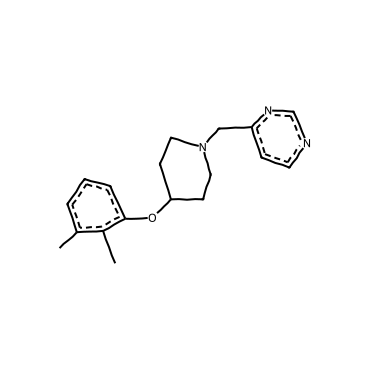 Cc1cccc(OC2CCN(Cc3ccncn3)CC2)c1C